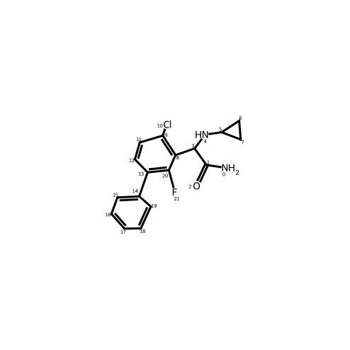 NC(=O)C(NC1CC1)c1c(Cl)ccc(-c2ccccc2)c1F